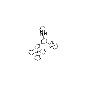 c1ccc2c(c1)-c1ccccc1C21c2ccccc2-c2ccc(-c3cc(-c4nc5ccccn5n4)cc(-c4nc5ccccn5n4)c3)cc21